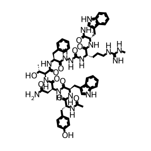 CNC(=N)NCCC[C@H](NC(=O)NNC(=O)[C@H](Cc1ccccc1)NC(=O)[C@@H](NC(=O)[C@H](CC(N)=O)NC(=O)[C@@H](Cc1c[nH]c2ccccc12)NC(=O)[C@@H](Cc1ccc(O)cc1)NC(C)=O)[C@@H](C)O)C(=O)N[C@@H](Cc1c[nH]c2ccccc12)C(N)=O